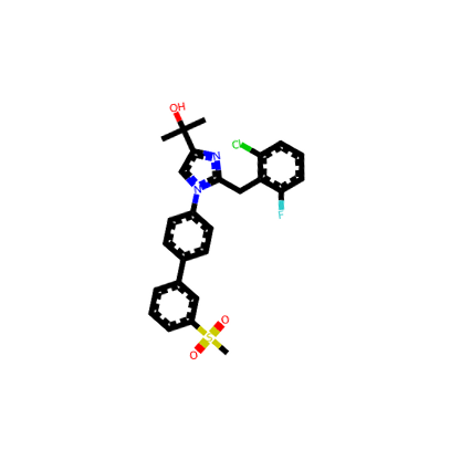 CC(C)(O)c1cn(-c2ccc(-c3cccc(S(C)(=O)=O)c3)cc2)c(Cc2c(F)cccc2Cl)n1